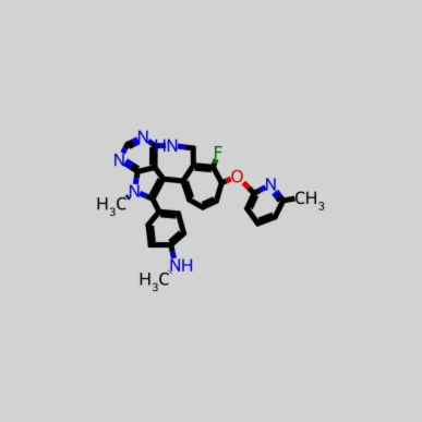 CNc1ccc(-c2c3c4c(ncnc4n2C)NCC2=C(F)C(Oc4cccc(C)n4)C=CC=C23)cc1